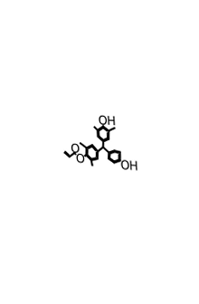 C=CC(=O)Oc1c(C)cc(C(c2ccc(O)cc2)c2cc(C)c(O)c(C)c2)cc1C